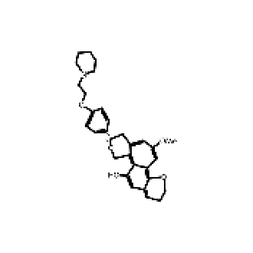 COC1=Cc2c3c(cc(O)c2=C2CO[C@H](c4ccc(OCCN5CCCCC5)cc4)CC2=C1)=CCCO3